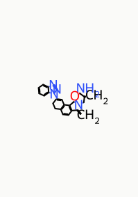 C=C(CN1Cc2c(ccc3c2C=C(n2nnc4ccccc42)CC3)C1=C)C(N)=O